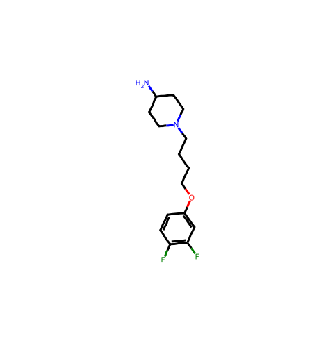 NC1CCN(CCCCOc2ccc(F)c(F)c2)CC1